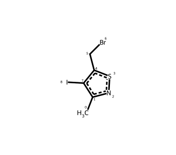 Cc1nsc(CBr)c1I